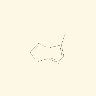 Ic1cnc2sccn12